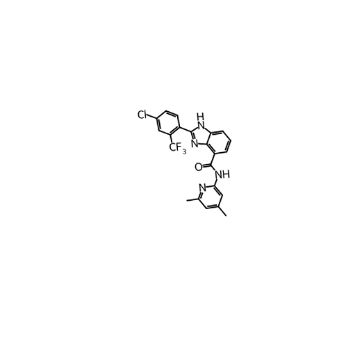 Cc1cc(C)nc(NC(=O)c2cccc3[nH]c(-c4ccc(Cl)cc4C(F)(F)F)nc23)c1